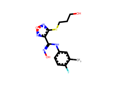 OCCCSc1nonc1/C(=N/O)Nc1ccc(F)c(C(F)(F)F)c1